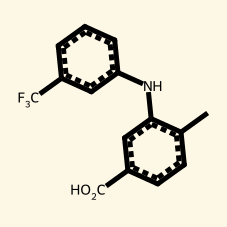 Cc1ccc(C(=O)O)cc1Nc1cccc(C(F)(F)F)c1